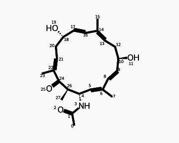 CC(=O)N[C@H]1/C=C(C)/C=C/[C@H](O)C/C=C(C)/C=C/[C@@H](O)C/C=C(\C)C(=O)[C@@H]1C